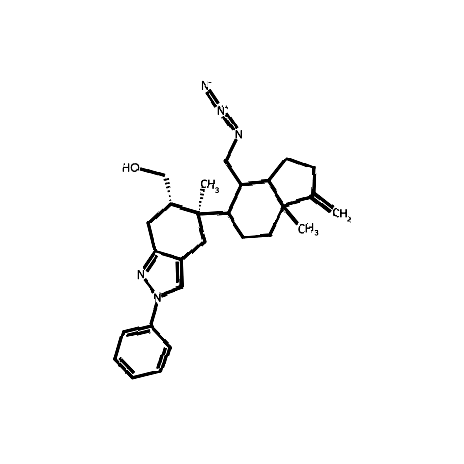 C=C1CCC2C(CN=[N+]=[N-])C([C@@]3(C)Cc4cn(-c5ccccc5)nc4C[C@@H]3CO)CCC12C